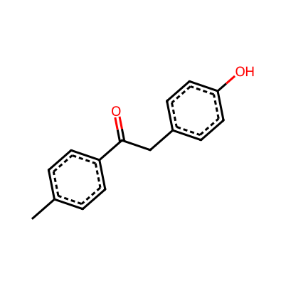 Cc1ccc(C(=O)Cc2ccc(O)cc2)cc1